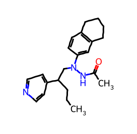 CCCC(CN(NC(C)=O)c1ccc2c(c1)CCCC2)c1ccncc1